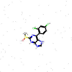 C[S+]([O-])c1nc(-c2ccc(Cl)cc2Cl)c2[nH]cnc2n1